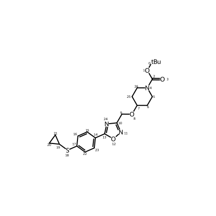 CC(C)(C)OC(=O)N1CCC(OCc2noc(-c3ccc(SC4CC4)cc3)n2)CC1